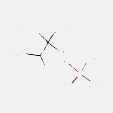 CCCCCCCCC(C(=O)O)C(CCCCCCCC)(C(=O)O)S(=O)(=O)O.CCCC[PH](CCCC)(CCCC)CCCC